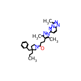 CCCC1(Cc2ccccc2)CCN(C(=O)CCc2c(C)nn(-c3ccc4nnc(C)n4n3)c2C)C1